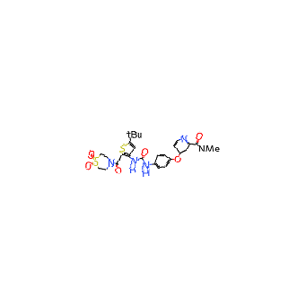 CNC(=O)c1cc(Oc2ccc(NC(=O)Nc3cc(C(C)(C)C)sc3C(=O)N3CCS(=O)(=O)CC3)cc2)ccn1